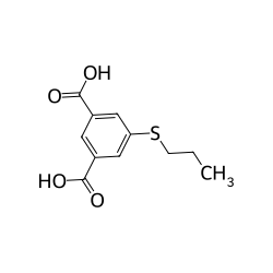 CCCSc1cc(C(=O)O)cc(C(=O)O)c1